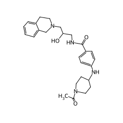 CC(=O)N1CCC(Nc2ccc(C(=O)NCC(O)CN3CCc4ccccc4C3)cc2)CC1